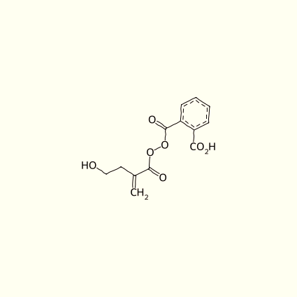 C=C(CCO)C(=O)OOC(=O)c1ccccc1C(=O)O